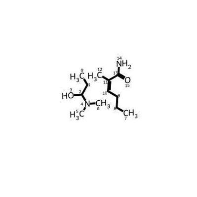 CCC(O)N(C)C.CCCC=C(C)C(N)=O